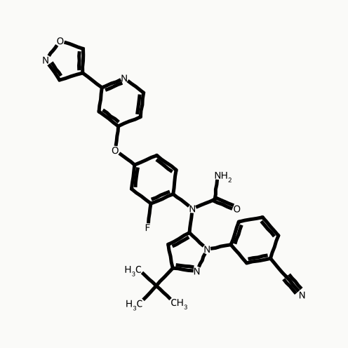 CC(C)(C)c1cc(N(C(N)=O)c2ccc(Oc3ccnc(-c4cnoc4)c3)cc2F)n(-c2cccc(C#N)c2)n1